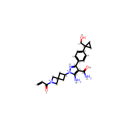 C=CC(=O)N1CC2(CC(n3nc(-c4ccc(C5(CO)CC5)cc4)c(C(N)=O)c3N)C2)C1